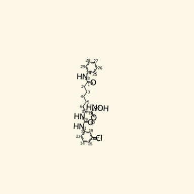 O=C(CCCCC[C@H](NC(=O)Nc1cccc(Cl)c1)C(=O)NO)Nc1ccccc1